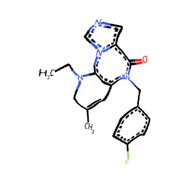 CCN1CC(C)=Cc2c1n1cncc1c(=O)n2Cc1ccc(F)cc1